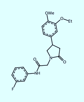 CCOc1cc(C2CC(=O)N(CC(=O)Nc3cccc(F)c3)C2)ccc1OC